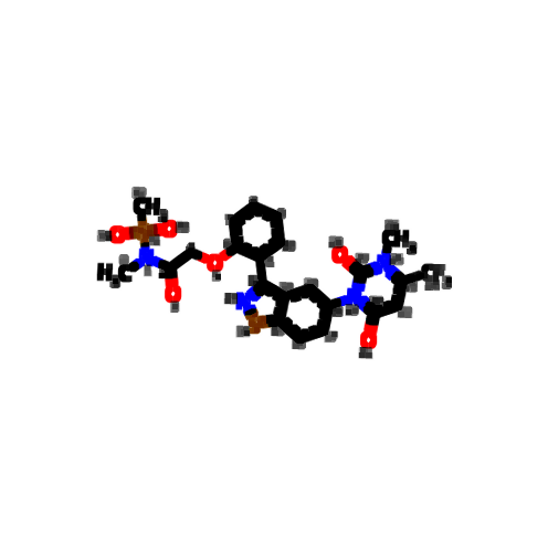 CN(C(=O)COc1ccccc1-c1nsc2ccc(-n3c(=O)cc(C(F)(F)F)n(C)c3=O)cc12)S(C)(=O)=O